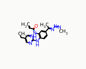 C=CC(=O)Nc1cc(/C(C)=N/N=N\C)ccc1Nc1ncc(CC)cn1